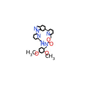 COc1ccc(CNC(=O)OCc2cccc(-c3ccc4cnn(-c5cccc(C#N)n5)c4c3)n2)c(OC)c1